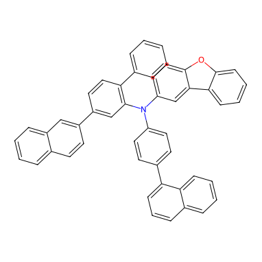 c1ccc(-c2ccc(-c3ccc4ccccc4c3)cc2N(c2ccc(-c3cccc4ccccc34)cc2)c2ccc3oc4ccccc4c3c2)cc1